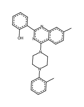 Cc1ccc2c(N3CCN(c4ccccc4C)CC3)nc(-c3ccccc3O)nc2c1